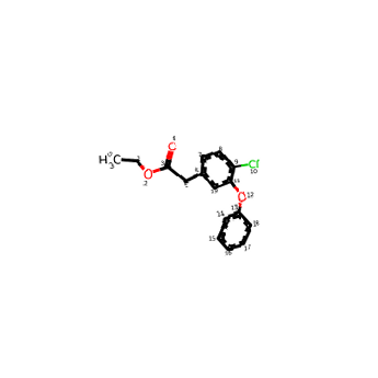 CCOC(=O)Cc1ccc(Cl)c(Oc2ccccc2)c1